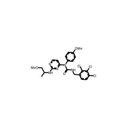 COCC(C)Nc1nccc(N(C(=O)NCc2ccc(Cl)c(Cl)c2Cl)c2ccc(OC)cc2)n1